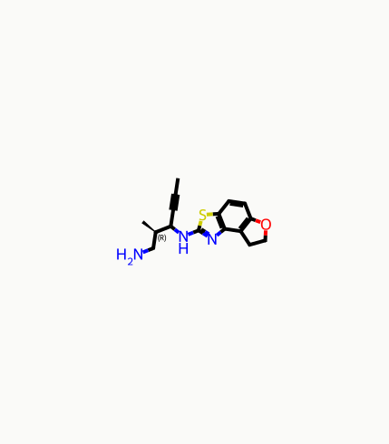 CC#CC(Nc1nc2c3c(ccc2s1)OCC3)[C@H](C)CN